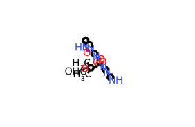 Cc1cc(C[C@@H](OC(=O)N2CCC(N3CCc4ccccc4NC3=O)CC2)C(=O)N2CCN(C3CCNCC3)CC2)cc(C)c1OC=O